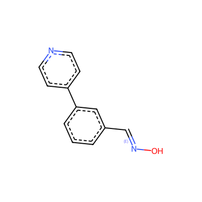 O/N=C/c1cccc(-c2ccncc2)c1